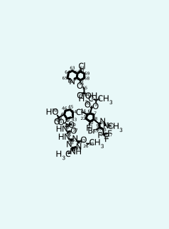 CC(C)OC(=O)c1cc(-c2nn(C)c(C(F)(F)F)c2Br)c(F)cc1Cl.CCOc1nc(NC)nc(NC(=O)NS(=O)(=O)c2ccccc2C(=O)O)n1.O=C(O)COc1ccc(Cl)c2cccnc12